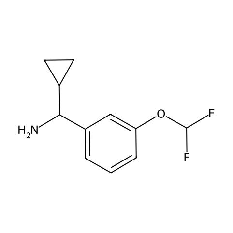 NC(c1cccc(OC(F)F)c1)C1CC1